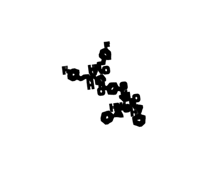 O=C(NCCc1ccc(F)cc1)[C@@H]1CN(C(=O)c2ccc(C(=O)N3C[C@@H](C(=O)NC4C[C@@H]4c4ccccc4)[C@H](C(=O)N[C@H]4C[C@@H]4c4ccccc4)C3)cc2)C[C@H]1C(=O)NCCc1ccc(F)cc1